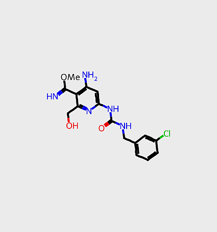 COC(=N)c1c(N)cc(NC(=O)NCc2cccc(Cl)c2)nc1CO